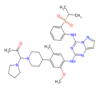 COc1cc(C2CCN(C(C(C)=O)N3CCCC3)CC2)c(C)cc1Nc1nc(Nc2ccccc2S(=O)(=O)C(C)C)n2nccc2n1